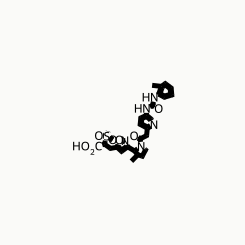 Cc1ccccc1NC(=O)Nc1ccc(CC(=O)N2CCC(C)C2c2cc(CC(C(=O)O)S(C)(=O)=O)on2)nc1